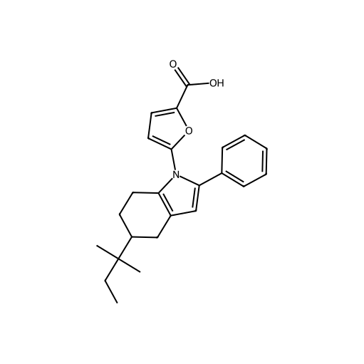 CCC(C)(C)C1CCc2c(cc(-c3ccccc3)n2-c2ccc(C(=O)O)o2)C1